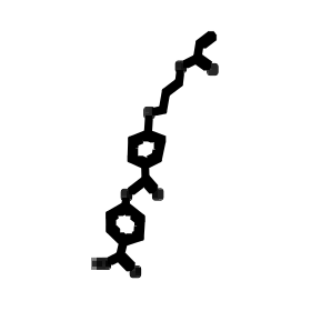 C=CC(=O)OCCCOc1ccc(C(=O)Oc2ccc(C(=O)O)cc2)cc1